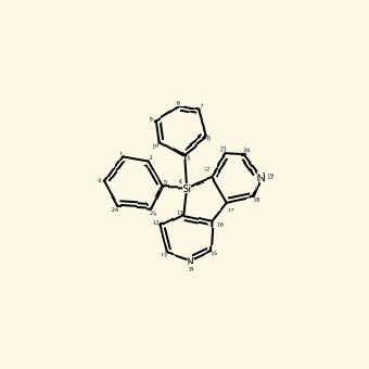 c1ccc([Si]2(c3ccccc3)c3ccncc3-c3cnccc32)cc1